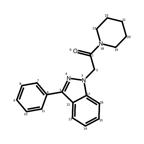 O=C(Cn1nc(-c2ccccc2)c2ccccc21)N1CCCCC1